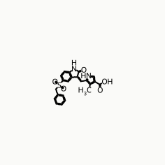 Cc1c(C(=O)O)c[nH]c1/C=C1\C(=O)Nc2ccc(S(=O)(=O)Cc3ccccc3)cc21